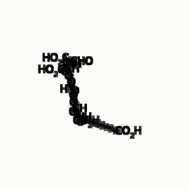 O=[C][C@H](CCC(=O)O)NC(=O)[C@H](CCC(=O)O)NC(=O)COCCOCCNC(=O)COCCOCCNC(=O)CC[C@H](NC(=O)CCCCCCCCCCCCCCCCC(=O)O)C(=O)O